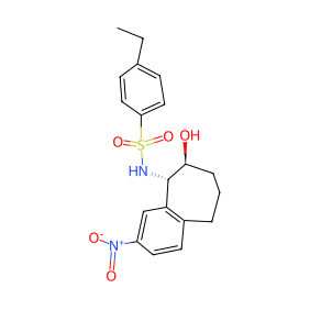 CCc1ccc(S(=O)(=O)N[C@H]2c3cc([N+](=O)[O-])ccc3CCC[C@@H]2O)cc1